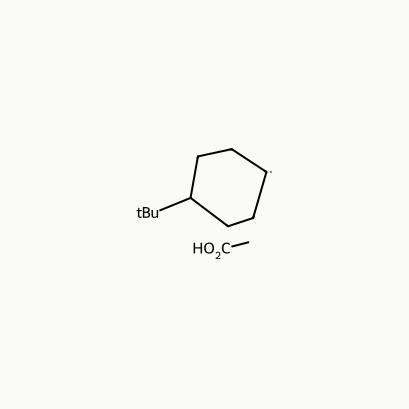 CC(=O)O.CC(C)(C)C1CC[CH]CC1